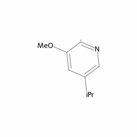 COc1[c]ncc(C(C)C)c1